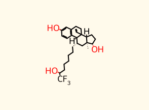 C=CC12CCc3cc(O)ccc3[C@H]1[C@@H](CCCCCCC(O)C(F)(F)F)C[C@]1(C)[C@@H](O)CC[C@@H]21